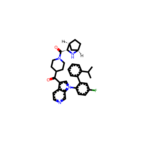 CC(C)c1ccccc1-c1cc(F)ccc1-n1cc(C(=O)C2CCN(C(=O)[C@H]3N[C@@H]4CC[C@H]3C4)CC2)c2ccncc21